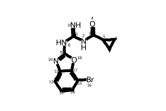 N=C(NC(=O)C1CC1)Nc1nc2cccc(Br)c2o1